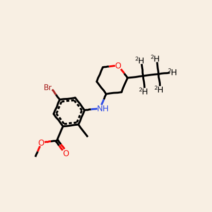 [2H]C([2H])([2H])C([2H])([2H])C1CC(Nc2cc(Br)cc(C(=O)OC)c2C)CCO1